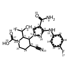 CC(F)C1C(n2cc(C(N)=O)c(Nc3ccc(F)cc3)n2)C(C#N)CCN1C(=O)O